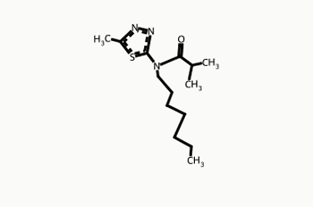 CCCCCCCN(C(=O)C(C)C)c1nnc(C)s1